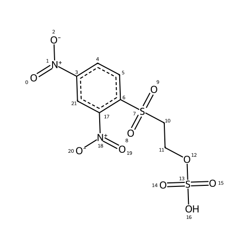 O=[N+]([O-])c1ccc(S(=O)(=O)CCOS(=O)(=O)O)c([N+](=O)[O-])c1